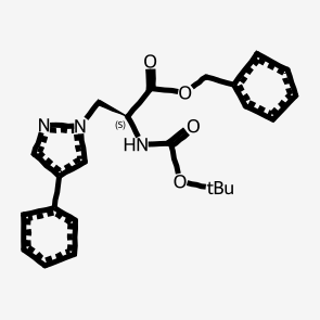 CC(C)(C)OC(=O)N[C@@H](Cn1cc(-c2ccccc2)cn1)C(=O)OCc1ccccc1